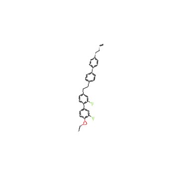 C=CCCc1ccc(-c2ccc(CCc3ccc(-c4ccc(OCC)c(F)c4)c(F)c3)cc2)cc1